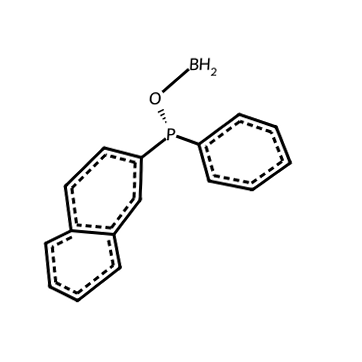 BO[P@](c1ccccc1)c1ccc2ccccc2c1